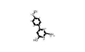 CCOc1ccc(-c2cc(O)nc(N)n2)cc1